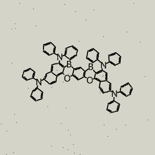 c1ccc(N(c2ccccc2)c2ccc3c4c5c(cc3c2)N(c2ccccc2)c2ccccc2B5c2cc3c(cc2O4)Oc2c4c(cc5cc(N(c6ccccc6)c6ccccc6)ccc25)N(c2ccccc2)c2ccccc2B34)cc1